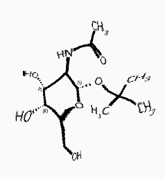 CC(=O)NC1[C@H](OC(C)(C)C)OC(CO)[C@H](O)[C@@H]1O